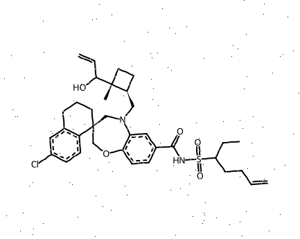 C=CCCC(CC)S(=O)(=O)NC(=O)c1ccc2c(c1)N(C[C@@H]1CC[C@@]1(C)C(O)C=C)C[C@@]1(CCCc3cc(Cl)ccc31)CO2